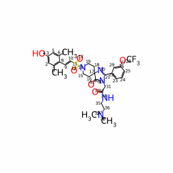 Cc1cc(O)cc(C)c1/C=C/S(=O)(=O)N1CCC2(CC1)N=C(c1cccc(OC(F)(F)F)c1)N(CC(=O)NCCN(C)C)C2=O